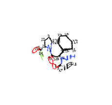 CC[C@@H](C)C(=O)N[C@H](C(=O)N1CCC[C@H]1C(=O)F)C1CCCCC1